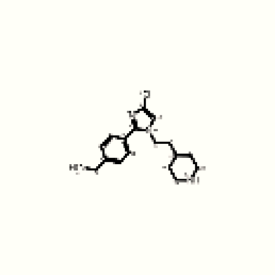 NCc1ccc(-c2nc(Cl)cn2CCC2CCNCC2)cc1